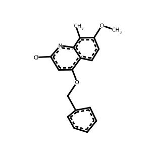 COc1ccc2c(OCc3ccccc3)cc(Cl)nc2c1C